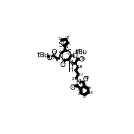 CC(C)(C)OC(=O)CN1CC(c2cccs2)SCC(N[C@H](CCCCN2C(=O)c3ccccc3C2=O)C(=O)OC(C)(C)C)C1=O